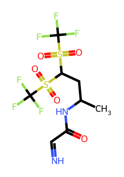 CC(CC(S(=O)(=O)C(F)(F)F)S(=O)(=O)C(F)(F)F)NC(=O)C=N